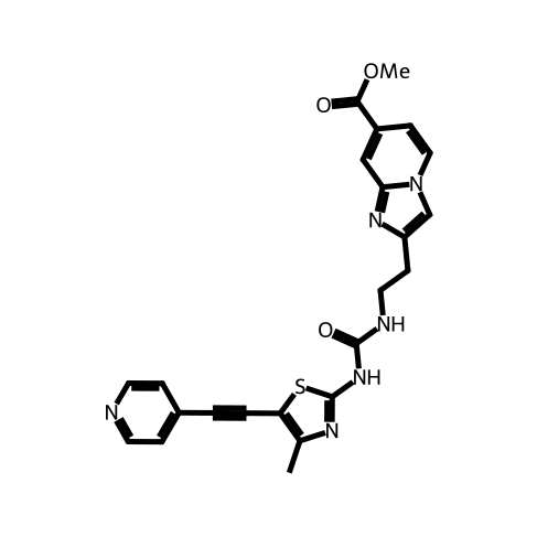 COC(=O)c1ccn2cc(CCNC(=O)Nc3nc(C)c(C#Cc4ccncc4)s3)nc2c1